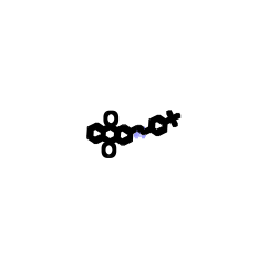 CC(C)(C)c1ccc(/C=C/c2ccc3c(c2)C(=O)c2ccccc2C3=O)cc1